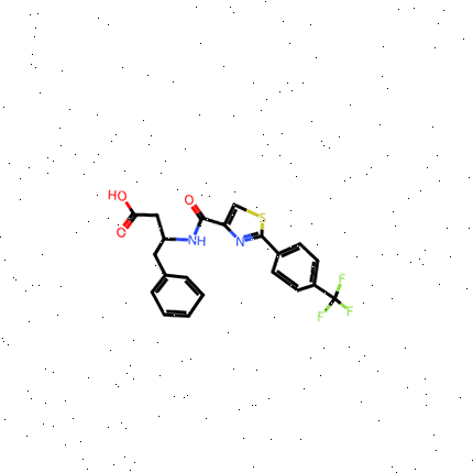 O=C(O)CC(Cc1ccccc1)NC(=O)c1csc(-c2ccc(C(F)(F)F)cc2)n1